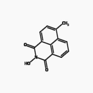 Cc1ccc2c3c(cccc13)C(=O)N(O)C2=O